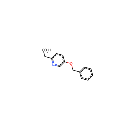 O=C(O)Cc1ccc(OCc2ccccc2)cn1